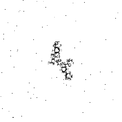 NC(=O)c1nn(CC(=O)N2C[C@H](F)C[C@H]2C(=O)N(F)c2cccc(OC(F)(F)F)c2)c2ccc(-c3cncnc3)cc12